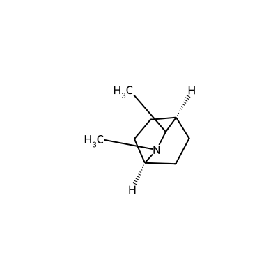 CC1[C@H]2CC[C@H](CC2)N1C